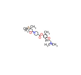 Cc1cc(OCCN(C)C)c(C(C)C)cc1OC(=O)C1CCN(C(=O)CC(C)(C)SN=O)CC1